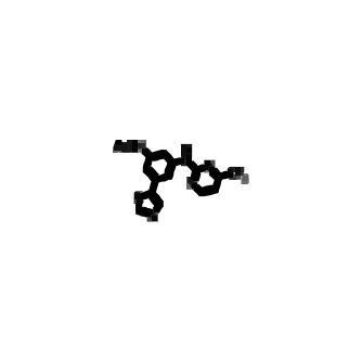 CC(=O)Nc1cc(Nc2nccc(C(F)(F)F)n2)cc(-c2cncs2)c1